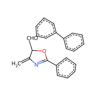 C=C1N=C(c2ccccc2)OC1C=O.c1ccc(-c2ccccc2)cc1